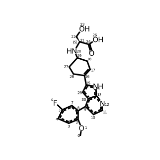 COc1ccc(F)cc1-c1ccnc2[nH]c(C3=CCC(N[C@@H](CO)C(=O)O)CC3)cc12